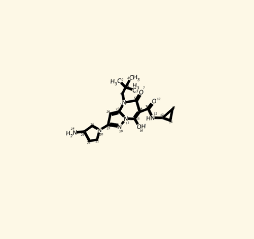 CC(C)(C)Cn1c(=O)c(C(=O)NC2CC2)c(O)n2nc(N3CCC(N)C3)cc12